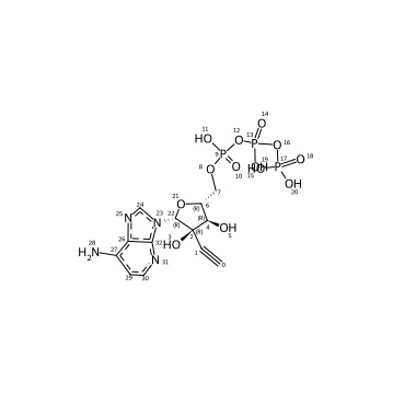 C#C[C@@]1(O)[C@H](O)[C@@H](COP(=O)(O)OP(=O)(O)OP(=O)(O)O)O[C@H]1n1cnc2c(N)ccnc21